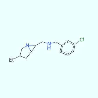 CCC1CC2C(CNCc3cccc(Cl)c3)N2C1